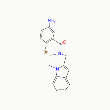 CN(Cc1cc2ccccc2n1C)C(=O)c1cc(N)ccc1Br